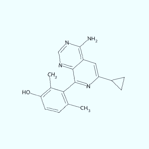 Cc1ccc(O)c(C)c1-c1nc(C2CC2)cc2c(N)ncnc12